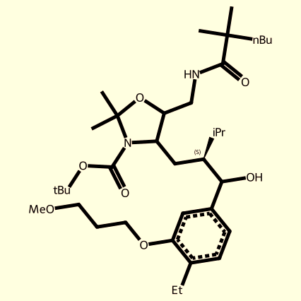 CCCCC(C)(C)C(=O)NCC1OC(C)(C)N(C(=O)OC(C)(C)C)C1C[C@@H](C(C)C)C(O)c1ccc(CC)c(OCCCOC)c1